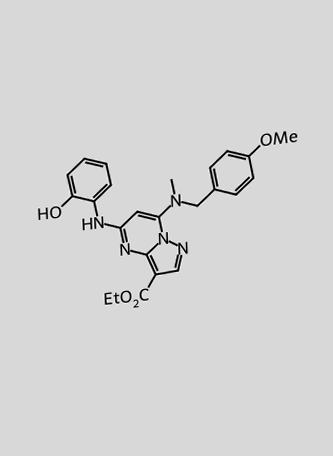 CCOC(=O)c1cnn2c(N(C)Cc3ccc(OC)cc3)cc(Nc3ccccc3O)nc12